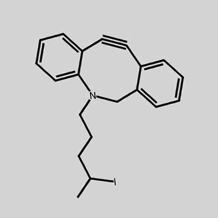 CC(I)CCCN1Cc2ccccc2C#Cc2ccccc21